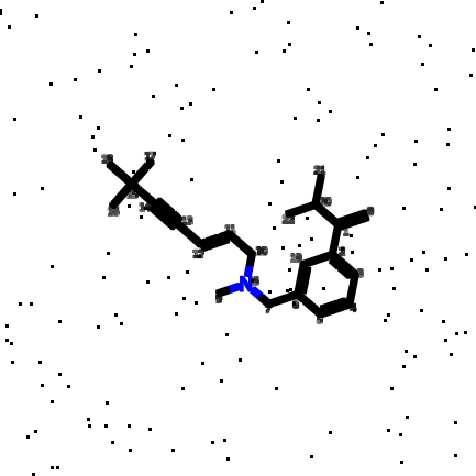 C=C(c1cccc(CN(C)C/C=C/C#CC(C)(C)C)c1)C(C)C